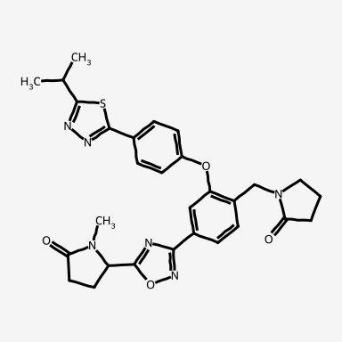 CC(C)c1nnc(-c2ccc(Oc3cc(-c4noc(C5CCC(=O)N5C)n4)ccc3CN3CCCC3=O)cc2)s1